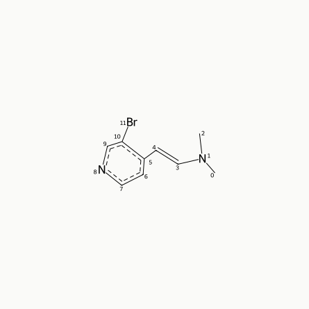 CN(C)/C=C/c1ccncc1Br